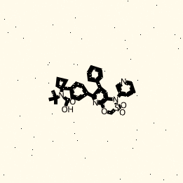 CC(C)(C)N(C(=O)O)C1(c2ccc(-c3nc4c(cc3-c3ccccc3)N(c3cccnc3)S(=O)(=O)CO4)cc2)CCC1